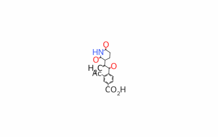 C=C(C(=O)c1ccc(C(=O)O)cc1C(C)=O)C1CCC(=O)NC1=O